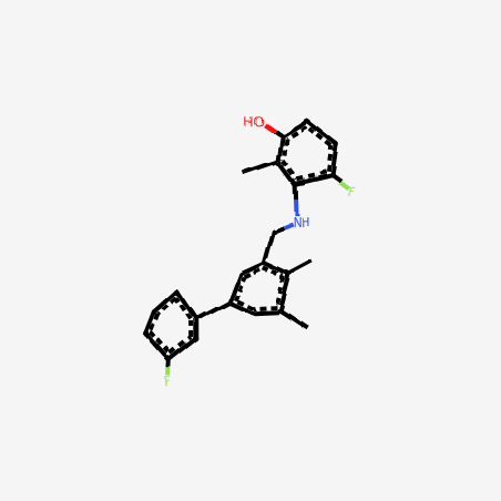 Cc1cc(-c2cccc(F)c2)cc(CNc2c(F)ccc(O)c2C)c1C